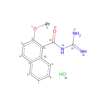 CC(C)Oc1ccc2ccccc2c1C(=O)NC(=N)N.Cl